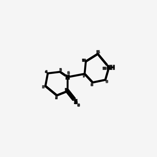 S=C1CCCCN1C1CCNCC1